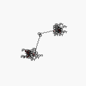 CCCCCCCCCC(C(=O)OCCCCCCCCCCCCOC(=O)CCCCCCCCCC[Si]12O[Si]3(CC(C)C)O[Si]4(CC(C)C)O[Si](CC(C)C)(O1)O[Si]1(CC(C)C)O[Si](CC(C)C)(O2)O[Si](CC(C)C)(O3)O[Si](CC(C)C)(O4)O1)[Si]12O[Si]3(CC(C)C)O[Si]4(CC(C)C)O[Si]5(CC(C)C)O[Si](CC(C)C)(O3)O[Si](CC(C)C)(O[Si](CC(C)C)(O5)O[Si](CC(C)C)(O4)O1)O2